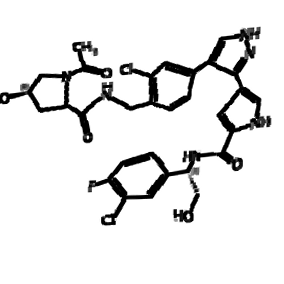 CC(=O)N1C[C@H](O)CC1C(=O)NCc1ccc(-c2c[nH]nc2-c2c[nH]c(C(=O)N[C@H](CO)c3ccc(F)c(Cl)c3)c2)cc1Cl